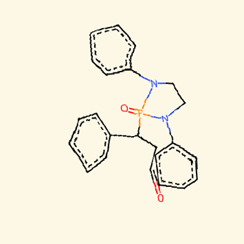 O=CCC(c1ccccc1)P1(=O)N(c2ccccc2)CCN1c1ccccc1